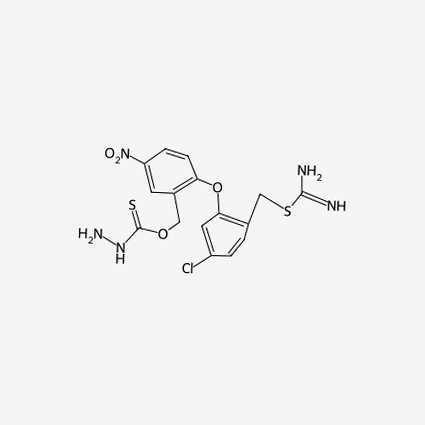 N=C(N)SCc1ccc(Cl)cc1Oc1ccc([N+](=O)[O-])cc1COC(=S)NN